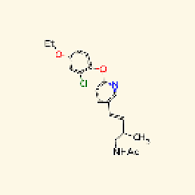 CCOc1ccc(Oc2ccc(/C=C/C(C)CNC(C)=O)cn2)c(Cl)c1